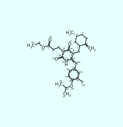 C=C1CC[C@@H](C)CC1Cn1c(=O)n(CCC(=O)OCC)c(=O)[nH]/c1=N\c1ccc(OC(C)C)c(F)c1